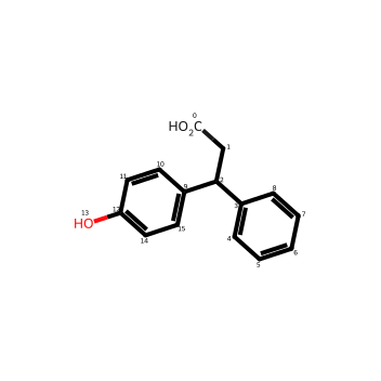 O=C(O)CC(c1ccccc1)c1ccc(O)cc1